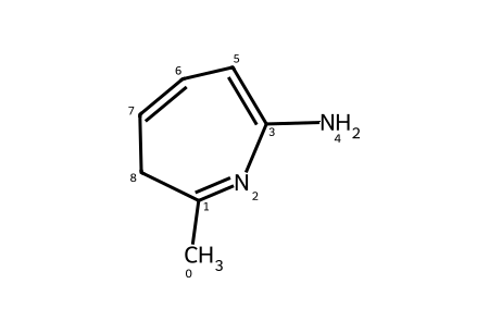 CC1=NC(N)=CC=CC1